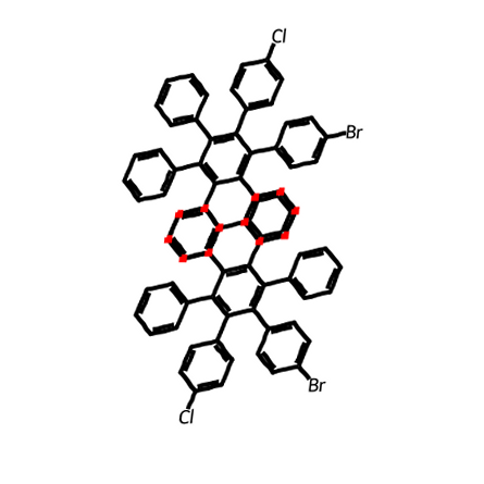 Clc1ccc(-c2c(-c3ccccc3)c(-c3ccccc3)c(-c3ccccc3-c3ccccc3-c3c(-c4ccccc4)c(-c4ccccc4)c(-c4ccc(Cl)cc4)c(-c4ccc(Br)cc4)c3-c3ccccc3)c(-c3ccccc3)c2-c2ccc(Br)cc2)cc1